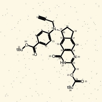 C#CCN(c1ccc(C(=O)OC(C)(C)C)cc1)[C@@H]1CCc2cc3nc(COC(=O)C(C)(C)C)[nH]c(=O)c3cc21